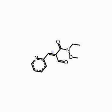 CCN(OC)C(=O)/C([C]=O)=C/c1ccccn1